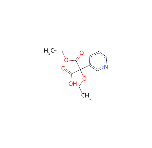 CCOC(=O)C(OCC)(C(=O)O)c1cccnc1